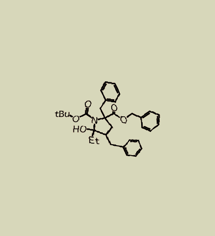 CCC1(O)C(Cc2ccccc2)CC(Cc2ccccc2)(C(=O)OCc2ccccc2)N1C(=O)OC(C)(C)C